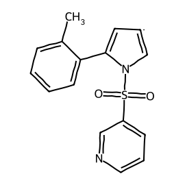 Cc1ccccc1-c1c[c]cn1S(=O)(=O)c1cccnc1